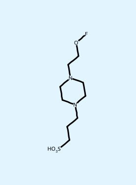 O=S(=O)(O)CCCN1CCN(CCOF)CC1